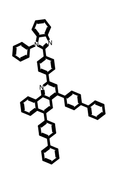 c1ccc(-c2ccc(-c3cc4c(-c5ccc(-c6ccccc6)cc5)cc(-c5ccc(-c6nc7ccccc7n6-c6ccccc6)cc5)nc4c4ccccc34)cc2)cc1